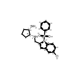 N[C@H]1CCC[C@H]1NCc1cc2cc(Cl)ccc2n1S(=O)(=O)c1ccccc1